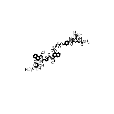 CC(C)[C@H](N)C(=O)N[C@@H](CCCNC(N)=O)C(=O)Nc1ccc(COC(=O)N(C)CCN(C)C(=O)Oc2cc3c(c4ccccc24)[C@H](CCl)CN3C(=O)c2ccc(C(=O)N3C[C@@H](CCl)c4c3cc(O[C@@H]3O[C@H](C(=O)O)[C@@H](O)[C@H](O)[C@H]3O)c3ccccc43)s2)cc1